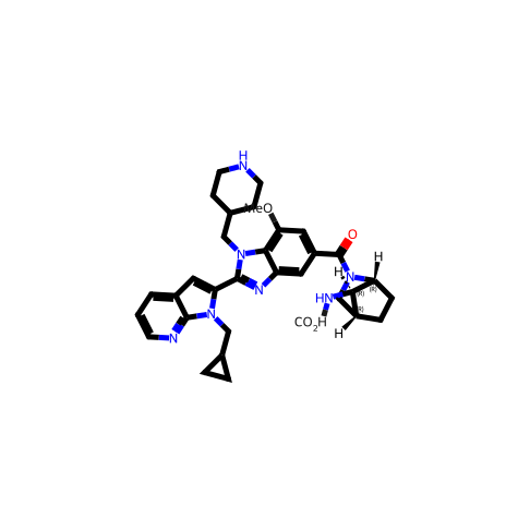 COc1cc(C(=O)N2C[C@H]3CC[C@@H]2[C@@H]3NC(=O)O)cc2nc(-c3cc4cccnc4n3CC3CC3)n(CC3CCNCC3)c12